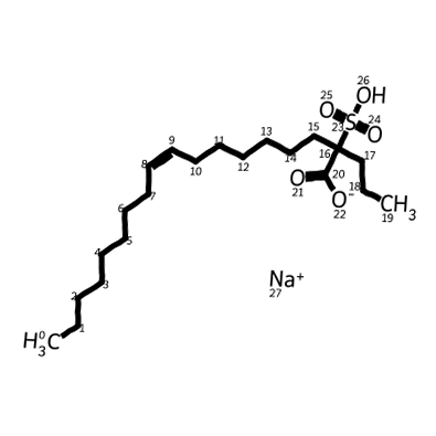 CCCCCCCC/C=C\CCCCCCC(CCC)(C(=O)[O-])S(=O)(=O)O.[Na+]